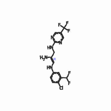 N/C(=C\Nc1ccc(Cl)c(C(F)F)c1)CNc1ncc(C(F)(F)F)cn1